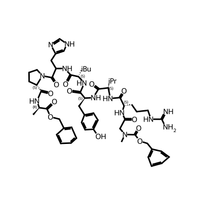 CCC(C)[C@H](NC(=O)[C@H](Cc1ccc(O)cc1)NC(=O)[C@@H](NC(=O)[C@H](CCCNC(=N)N)NC(=O)CN(C)C(=O)OCc1ccccc1)C(C)C)C(=O)NC(Cc1c[nH]cn1)C(=O)N1CCC[C@H]1C(=O)N[C@H](C)C(=O)OCc1ccccc1